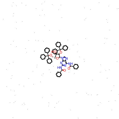 O=C(Nc1nc(NC(=O)c2ccccc2)c2ncn([C@@H]3O[C@H](COC(c4ccccc4)(c4ccccc4)c4ccccc4)[C@@H](O)[C@H]3OC(c3ccccc3)(c3ccccc3)c3ccccc3)c2n1)c1ccccc1